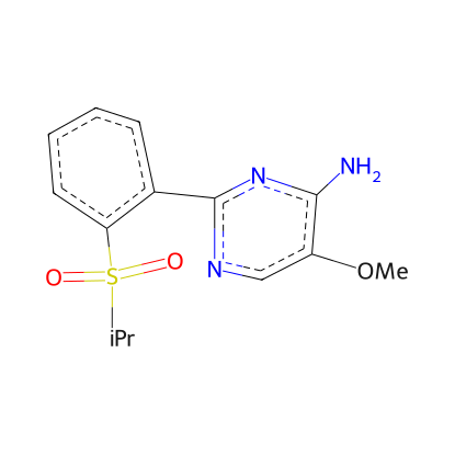 COc1cnc(-c2ccccc2S(=O)(=O)C(C)C)nc1N